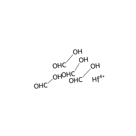 O=[C-]O.O=[C-]O.O=[C-]O.O=[C-]O.[Hf+4]